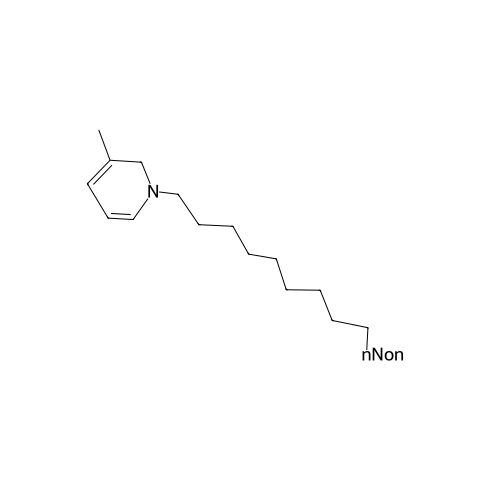 CCCCCCCCCCCCCCCCCCN1C=CC=C(C)C1